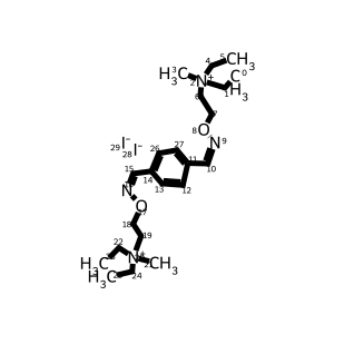 CC[N+](C)(CC)CCO/N=C\c1ccc(/C=N\OCC[N+](C)(CC)CC)cc1.[I-].[I-]